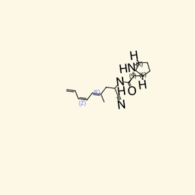 C=C/C=C\C=C(/C)CC(C#N)NC(=O)[C@H]1N[C@@H]2CC[C@H]1C2